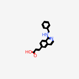 O=C(O)/C=C/c1ccc2c(NCc3ccccc3)nccc2c1